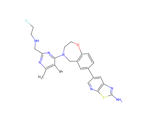 Cc1nc(CNCCF)nc(N2CCOc3ccc(-c4cnc5sc(N)nc5c4)cc3C2)c1C(C)C